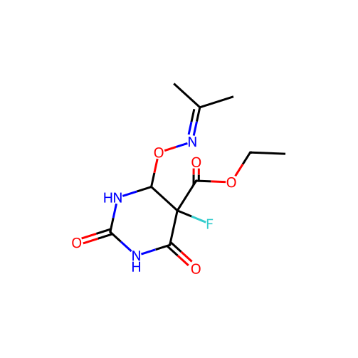 CCOC(=O)C1(F)C(=O)NC(=O)NC1ON=C(C)C